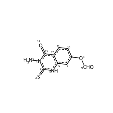 Nn1c(=S)[nH]c2cc(OC=O)ccc2c1=O